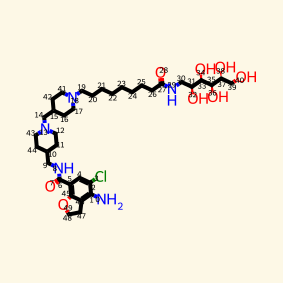 Nc1c(Cl)cc(C(=O)NCC2CCN(CC3CCN(CCCCCCCCC(=O)NC[C@H](O)[C@@H](O)[C@H](O)[C@H](O)CO)CC3)CC2)c2c1CCO2